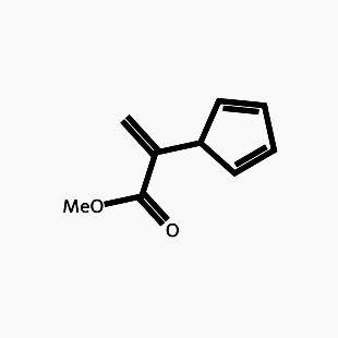 C=C(C(=O)OC)C1C=CC=C1